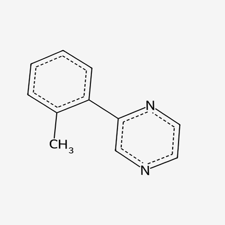 Cc1ccccc1-c1cnccn1